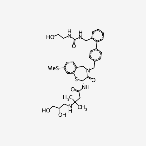 CSc1ccc2c(c1)S[C@@H](NC(=O)CC(C)(C)NC[C@H](O)CO)C(=O)N(Cc1ccc(-c3ccccc3CNC(=O)NCCO)cc1)C2